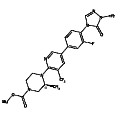 CCCn1ncn(-c2ccc(-c3cnc(N4CCN(C(=O)OC(C)(C)C)C[C@@H]4C)c(C(F)(F)F)c3)cc2F)c1=O